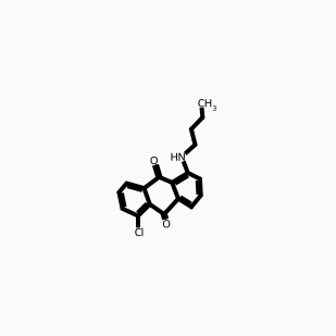 CCCCNc1cccc2c1C(=O)c1cccc(Cl)c1C2=O